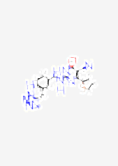 N#Cc1c(-c2cccs2)nc(NCc2cccc(Cc3nnn[nH]3)c2)[nH]c1=O